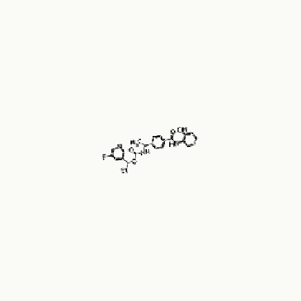 CC[C@H](OC(=O)N[C@@H](C)c1ccc(C(=O)Nc2ccccc2O)cc1)c1cncc(F)c1